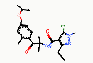 CCc1nn(C)c(Cl)c1C(=O)NC(C)(C)C(=O)c1ccc(OC(C)C)cc1C